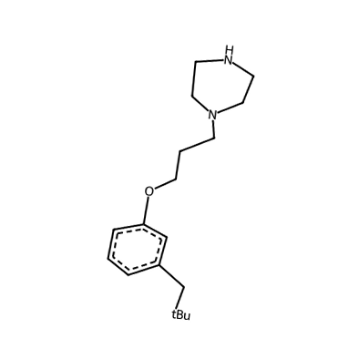 CC(C)(C)Cc1cccc(OCCCN2CCNCC2)c1